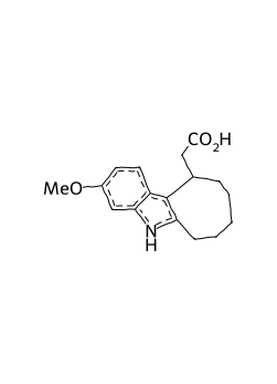 COc1ccc2c3c([nH]c2c1)CCCCCC3CC(=O)O